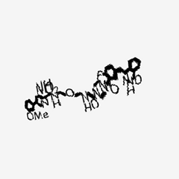 COc1cccc(-c2cnc(C(=O)NCCOCCNCC(=O)N3CCN(C(=O)c4cc(Cc5n[nH]c(=O)c6ccccc56)ccc4F)CC3)c(N)c2)c1